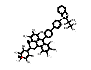 BC\C(O)=C(B)/C(=C(\C#C)Cc1c2c(B)c(B)c(B)c(B)c2c(-c2ccc(-c3ccc(-n4c(C(B)(B)C(B)(O)O)nc5ccccc54)cc3)cc2)c2c(B)c(B)c(B)c(O)c12)C(/B)=C(/B)C#C